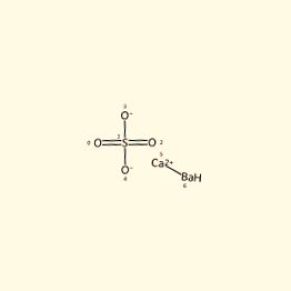 O=S(=O)([O-])[O-].[Ca+2][BaH]